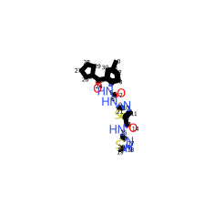 Cc1ccc(NC(=O)Nc2ncc(C(=O)Nc3nncs3)s2)c(C(=O)C2CCCC2)c1